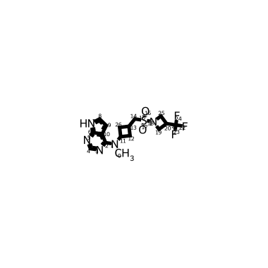 CN(c1ncnc2[nH]ccc12)C1CC(CS(=O)(=O)N2CC(C(F)(F)F)C2)C1